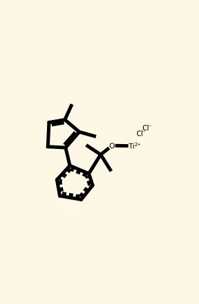 CC1=CCC(c2ccccc2C(C)(C)[O][Ti+2])=C1C.[Cl-].[Cl-]